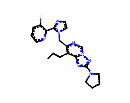 CCCc1c(Cn2ccnc2-c2ncccc2F)ncn2nc(N3CCCC3)nc12